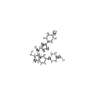 CCc1nc2ccc(N3CCN(SC)CC3)cn2c1N(C)c1nc(-c2ccc(Cl)cc2)ns1